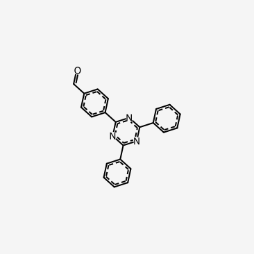 O=Cc1ccc(-c2nc(-c3ccccc3)nc(-c3ccccc3)n2)cc1